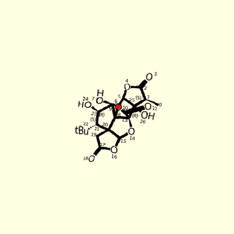 C[C@@H]1C(=O)OC2[C@H](O)C34C5OC(=O)[C@]3(OC3OC(=O)CC34[C@H](C(C)(C)C)[C@H]5O)[C@]21O